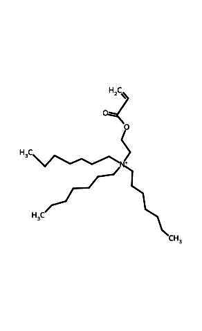 C=CC(=O)OCC[N+](CCCCCCC)(CCCCCCC)CCCCCCC